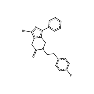 O=C1Cn2c(Br)nc(-c3ccccc3)c2CN1CCc1ccc(F)cc1